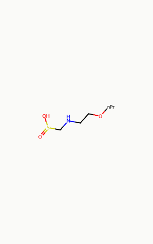 CCCOCCNCS(=O)O